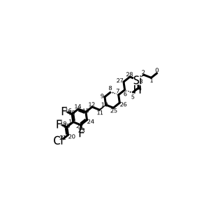 CCC[Si@H]1CC[C@H]([C@H]2CC[C@H](CCc3cc(F)c(C(F)=CCl)c(F)c3)CC2)CC1